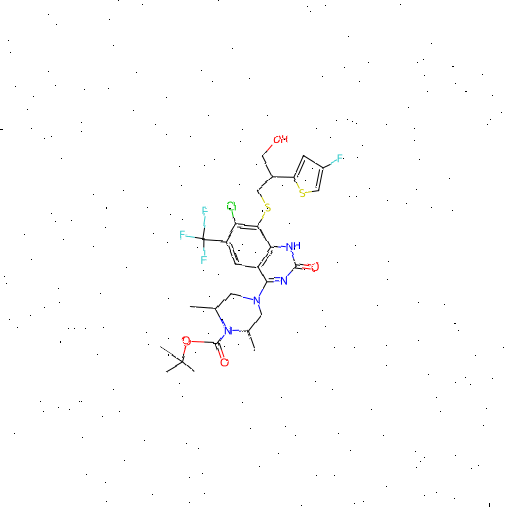 CC1CN(c2nc(=O)[nH]c3c(SCC(CO)c4cc(F)cs4)c(Cl)c(C(F)(F)F)cc23)CC(C)N1C(=O)OC(C)(C)C